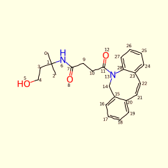 CC(C)(CCO)NC(=O)CCC(=O)N1Cc2ccccc2/C=C\c2ccccc21